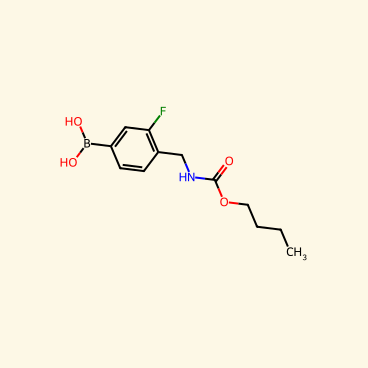 CCCCOC(=O)NCc1ccc(B(O)O)cc1F